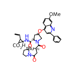 C=CC1CC1(NC(=O)[C@@H]1C[C@@H](Oc2cc(-c3ccccc3)nc3cc(OC)ccc23)CN1C(=O)[C@@H](CC(=O)N1CCCC1)C(C)(C)C)C(=O)O